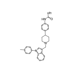 CCCC(=O)Nc1ccc(C2CCN(Cc3cn(-c4ccc(C)cc4)c4ccccc34)CC2)cc1